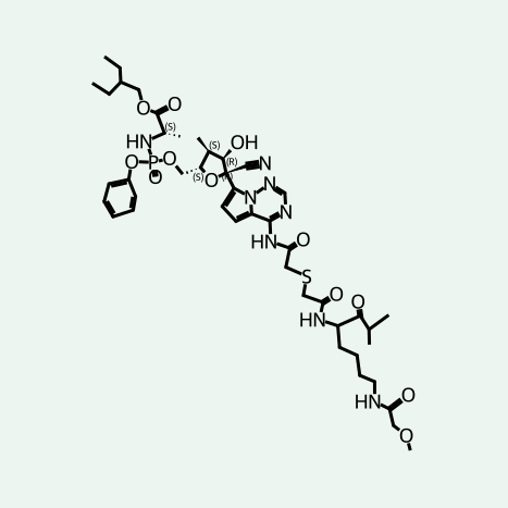 CCC(CC)COC(=O)[C@H](C)NP(=O)(OC[C@H]1O[C@@](C#N)(c2ccc3c(NC(=O)CSCC(=O)NC(CCCCNC(=O)COC)C(=O)C(C)C)ncnn23)[C@H](O)[C@@H]1C)Oc1ccccc1